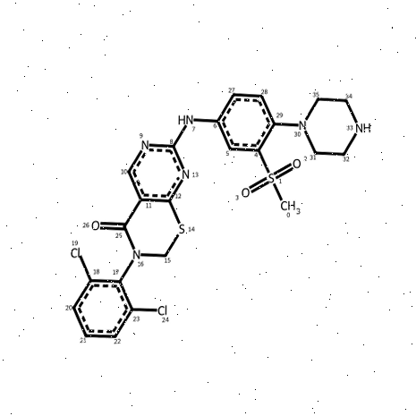 CS(=O)(=O)c1cc(Nc2ncc3c(n2)SCN(c2c(Cl)cccc2Cl)C3=O)ccc1N1CCNCC1